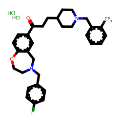 Cl.Cl.O=C(CCC1CCN(Cc2ccccc2C(F)(F)F)CC1)c1ccc2c(c1)CN(Cc1ccc(F)cc1)CCO2